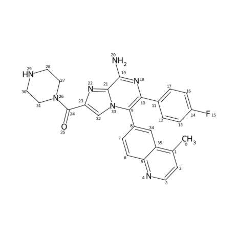 Cc1ccnc2ccc(-c3c(-c4ccc(F)cc4)nc(N)c4nc(C(=O)N5CCNCC5)cn34)cc12